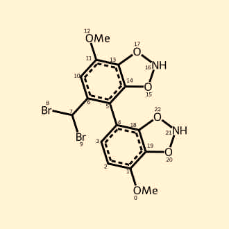 COc1ccc(-c2c(C(Br)Br)cc(OC)c3c2ONO3)c2c1ONO2